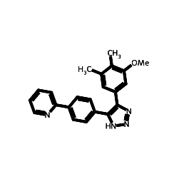 COc1cc(-c2nn[nH]c2-c2ccc(-c3ccccn3)cc2)cc(C)c1C